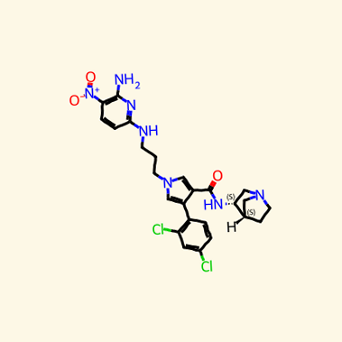 Nc1nc(NCCCn2cc(C(=O)N[C@@H]3CN4CC[C@H]3C4)c(-c3ccc(Cl)cc3Cl)c2)ccc1[N+](=O)[O-]